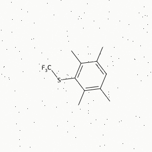 Cc1cc(C)c(C)c(SC(F)(F)F)c1C